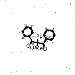 CCCCCC(OC)(C(=O)c1ccccc1)C(=O)c1ccccc1